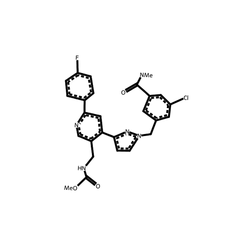 CNC(=O)c1cc(Cl)cc(Cn2ccc(-c3cc(-c4ccc(F)cc4)ncc3CNC(=O)OC)n2)c1